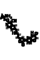 N#Cc1c(OCC2(N)CC2)ncc2c1CC(CNCCC1CN(c3ccc4c(n3)NC(=O)CO4)C(=O)O1)C2